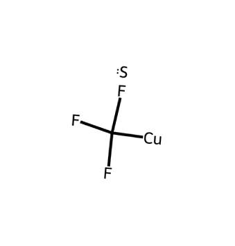 F[C](F)(F)[Cu].[S]